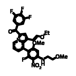 CCOC=Cc1cc(C(=O)c2cc(F)c(F)c(F)c2)n2cccc(-c3c(OC)cc(NCCOC)c([N+](=O)[O-])c3F)c12